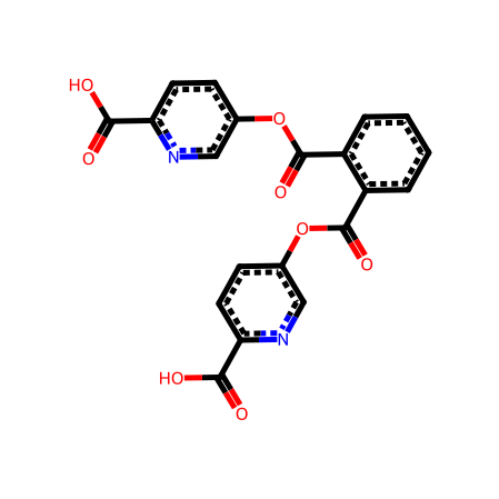 O=C(O)c1ccc(OC(=O)c2ccccc2C(=O)Oc2ccc(C(=O)O)nc2)cn1